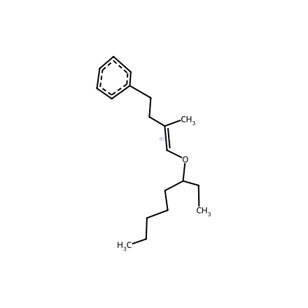 CCCCCC(CC)O/C=C(\C)CCc1ccccc1